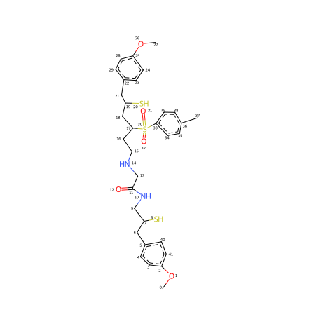 COc1ccc(CC(S)CNC(=O)CNCCC(CC(S)Cc2ccc(OC)cc2)S(=O)(=O)c2ccc(C)cc2)cc1